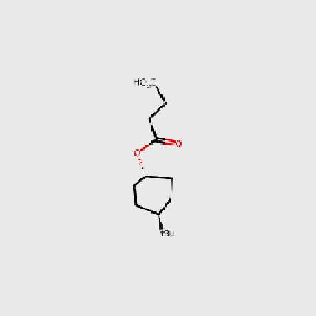 CC(C)(C)[C@H]1CC[C@H](OC(=O)CCC(=O)O)CC1